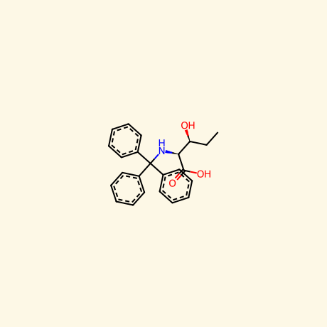 CC[C@H](O)[C@H](NC(c1ccccc1)(c1ccccc1)c1ccccc1)C(=O)O